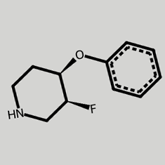 F[C@H]1CNCC[C@H]1Oc1ccccc1